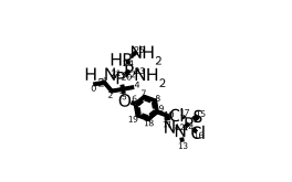 CCCC(C)(Oc1ccc(/C=N/N(C)P(=S)(Cl)Cl)cc1)P(N)P(N)PN